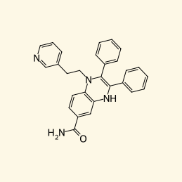 NC(=O)c1ccc2c(c1)NC(c1ccccc1)=C(c1ccccc1)N2CCc1cccnc1